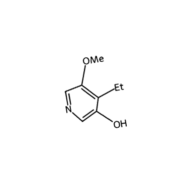 CCc1c(O)cncc1OC